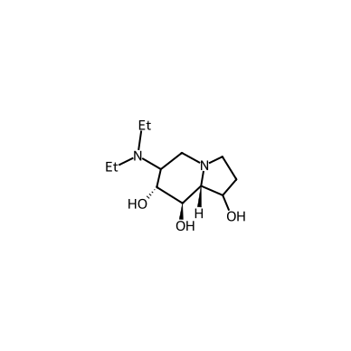 CCN(CC)C1CN2CCC(O)[C@@H]2[C@@H](O)[C@@H]1O